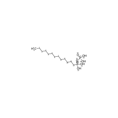 CCCCCCCCCCCCC[PH](O)(O)OP(=O)(O)O